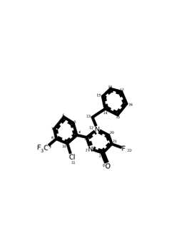 O=c1nc(-c2cccc(C(F)(F)F)c2Cl)n(Cc2ccccc2)cc1F